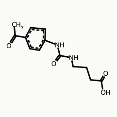 CC(=O)c1ccc(NC(=O)NCCCC(=O)O)cc1